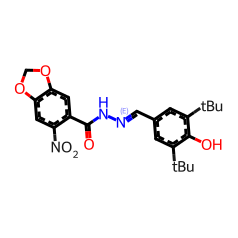 CC(C)(C)c1cc(/C=N/NC(=O)c2cc3c(cc2[N+](=O)[O-])OCO3)cc(C(C)(C)C)c1O